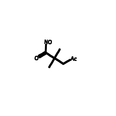 CC(=O)CC(C)(C)C(=O)N=O